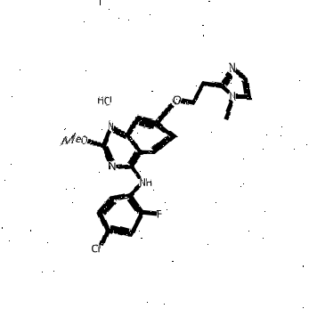 COc1nc(Nc2ccc(Cl)cc2F)c2ccc(OCCc3nccn3C)cc2n1.Cl